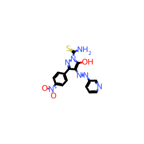 NC(=S)n1nc(-c2ccc([N+](=O)[O-])cc2)c(/N=N/c2cccnc2)c1O